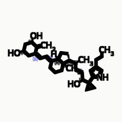 C=C1/C(=C\C=C2/CCC[C@]3(C)[C@@H]([C@H](C)/C=C/[C@H](O)C4(c5cc(CCC)c[nH]5)CC4)CC[C@@H]23)C[C@@H](O)C[C@@H]1O